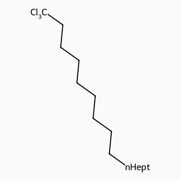 [CH2]CCCCCCCCCCCCCCC(Cl)(Cl)Cl